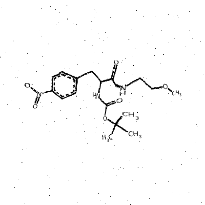 COCCNC(=O)C(Cc1ccc([N+](=O)[O-])cc1)NC(=O)OC(C)(C)C